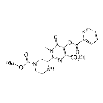 CCOC(=O)c1nc(C2CN(C(=O)OC(C)(C)C)CCN2)n(C)c(=O)c1OC(=O)c1ccccc1